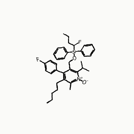 CCCCCc1c(-c2ccc(F)cc2)c(CO[Si](c2ccccc2)(c2ccccc2)C(F)CCC)c(C(C)C)[n+]([O-])c1C